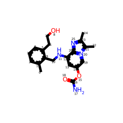 Cc1cccc(CCO)c1CNc1cc(OC(N)=O)cn2c(C)c(C)nc12